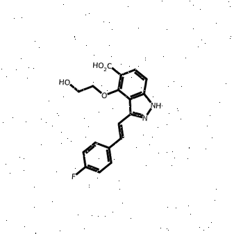 O=C(O)c1ccc2[nH]nc(/C=C/c3ccc(F)cc3)c2c1OCCO